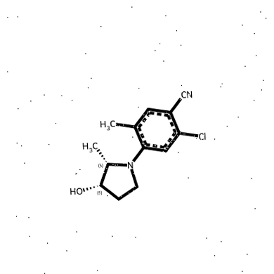 Cc1cc(C#N)c(Cl)cc1N1CC[C@H](O)[C@@H]1C